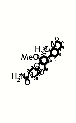 COc1cc(-c2ccc3cccnc3c2C)cc2c1OC1(CCN(C(N)=O)CC1)OC2